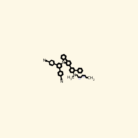 C=C/C=C\C=C/CN(C)c1ccc(-c2ccc3c4ccccc4n(-c4cc(C5=CCC(C#N)C=C5)cc(-c5ccc(C#N)cc5)c4)c3c2)cc1-c1ccccc1